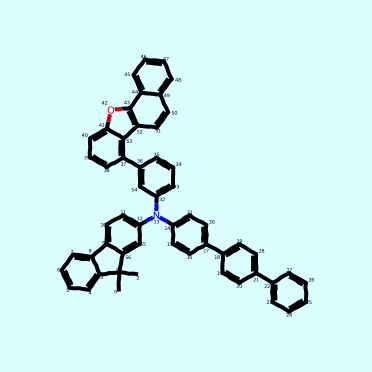 CC1(C)c2ccccc2-c2ccc(N(c3ccc(-c4ccc(-c5ccccc5)cc4)cc3)c3cccc(-c4cccc5oc6c7ccccc7ccc6c45)c3)cc21